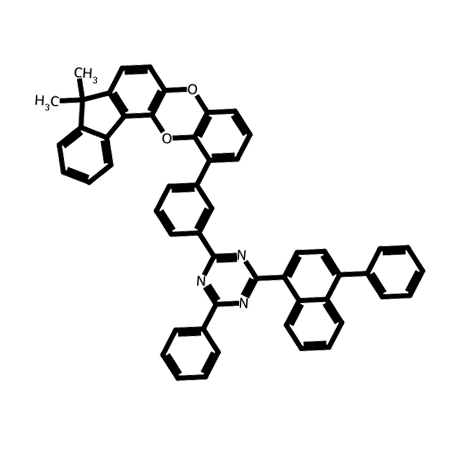 CC1(C)c2ccccc2-c2c1ccc1c2Oc2c(cccc2-c2cccc(-c3nc(-c4ccccc4)nc(-c4ccc(-c5ccccc5)c5ccccc45)n3)c2)O1